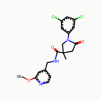 CC(C)(C)Oc1cc(CNC(=O)C2(C)CC(=O)N(c3cc(Cl)cc(Cl)c3)C2)ccn1